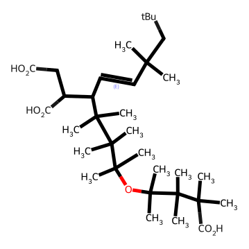 CC(C)(C)CC(C)(C)/C=C/C(C(CC(=O)O)C(=O)O)C(C)(C)C(C)(C)C(C)(C)OC(C)(C)C(C)(C)C(C)(C)C(=O)O